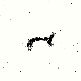 O=C1CCC(N2Cc3cc(N4CCN(CCCCc5ccc(Oc6c(-c7ccc(Br)cc7)sc7cc(O)ccc67)cc5)CC4)ccc3C2=O)C(=O)N1